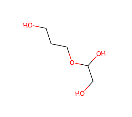 O[CH]C(O)OCCCO